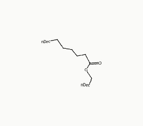 CCCCCCCCCCCCCCCC(=O)OCCCCCCCCCCC